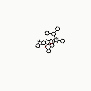 CC1(C)c2ccccc2-c2cc3c(cc21)Sc1ccccc1C31c2ccccc2-c2ccccc2-c2ccc(-c3nc(-c4ccccc4)nc(-c4cc(-c5ccccc5)cc(-c5ccccc5)c4)n3)cc21